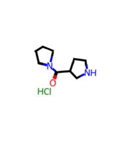 Cl.O=C(C1CCNC1)N1CCCC1